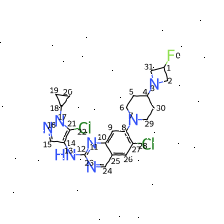 FC1CN(C2CCN(c3cc4nc(Nc5cnn(C6CC6)c5Cl)ncc4cc3Cl)CC2)C1